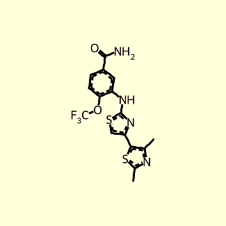 Cc1nc(C)c(-c2csc(Nc3cc(C(N)=O)ccc3OC(F)(F)F)n2)s1